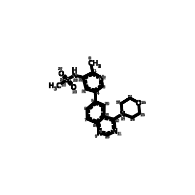 Cc1ncc(-c2ccc3ncnc(N4CCOCC4)c3c2)cc1NS(C)(=O)=O